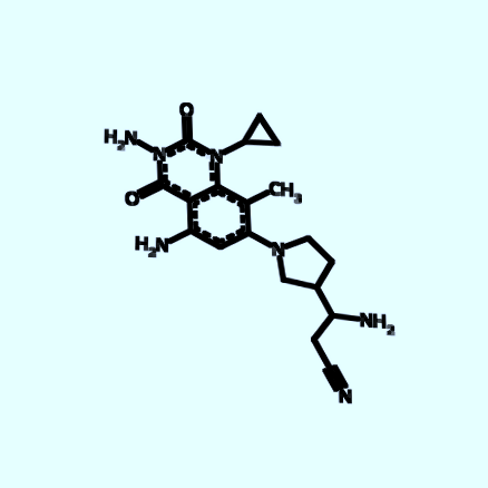 Cc1c(N2CCC(C(N)CC#N)C2)cc(N)c2c(=O)n(N)c(=O)n(C3CC3)c12